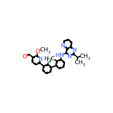 COc1nc(-c2cccc(-c3cccc(Nc4nc(C(C)C)nc5cccnc45)c3C)c2Cl)ccc1C=O